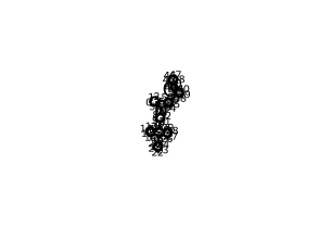 C1=CCC2C(=C1)N(c1ccc(-c3c4ccccc4c(-c4ccccc4)c4ccccc34)cc1)c1ccc(-c3cccc4c3oc3ccccc34)cc12